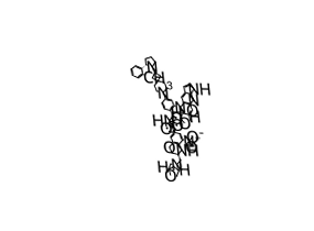 Cc1ccccc1[C@@H]1CCCN1C1CC2(CCN(c3ccc(C(=O)NS(=O)(=O)c4cc5c(c([N+](=O)[O-])c4)N[C@@H](CN4C[C@H]6C[C@@H]4CO6)CO5)c(N4c5cc6cc[nH]c6nc5O[C@@H]5COC[C@H]54)c3)CC2)C1